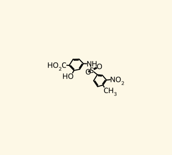 Cc1ccc(S(=O)(=O)Nc2ccc(C(=O)O)c(O)c2)cc1[N+](=O)[O-]